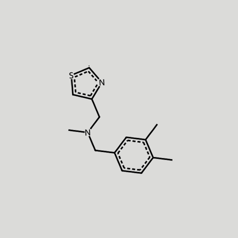 Cc1ccc(CN(C)Cc2cs[c]n2)cc1C